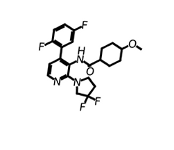 COC1CCC(C(=O)Nc2c(-c3cc(F)ccc3F)ccnc2N2CCC(F)(F)C2)CC1